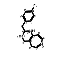 Fc1ccc(CC2NCC3=C(C=CN=CC3)N2)cc1